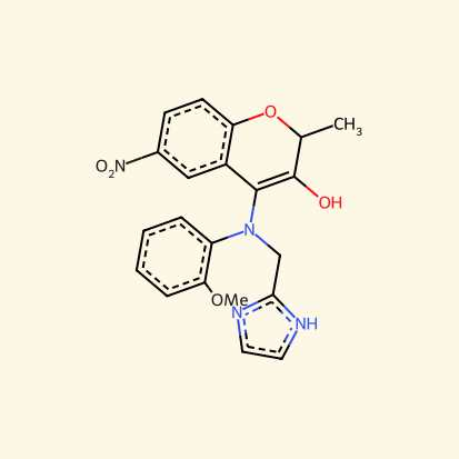 COc1ccccc1N(Cc1ncc[nH]1)C1=C(O)C(C)Oc2ccc([N+](=O)[O-])cc21